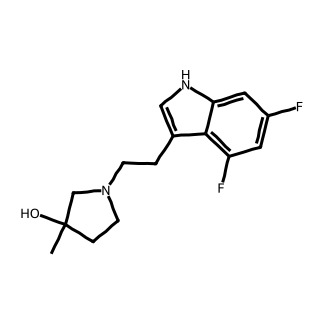 CC1(O)CCN(CCc2c[nH]c3cc(F)cc(F)c23)C1